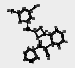 O=C(Nc1cccnc1)c1nccnc1N1CC(Oc2cc(F)cc(F)c2)C1